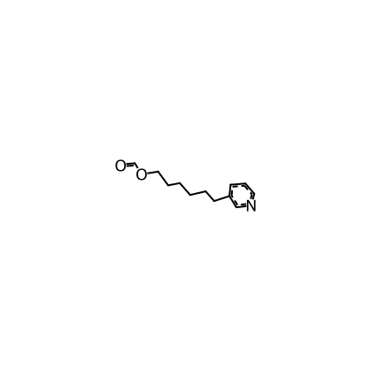 O=COCCCCCCc1cccnc1